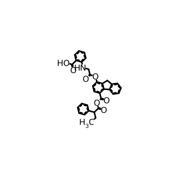 CCC(C(=O)OC(=O)c1ccc(OC(=O)CNc2ccccc2C(=O)O)c2c1-c1ccccc1C2)c1ccccc1